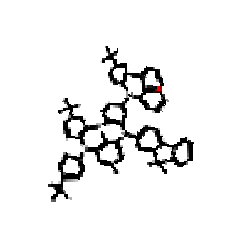 Cc1cc2c3c(c1)N(c1ccc4c(c1)C(C)(C)c1ccccc1-4)c1cc(N(c4ccccc4)c4ccc(C(C)(C)C)cc4-c4ccccc4)ccc1B3c1cc(C(C)(C)C)ccc1N2c1ccc(C(C)(C)C)cc1